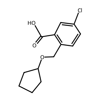 O=C(O)c1cc(Cl)ccc1COC1CCCC1